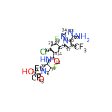 CCC(O)(C(=O)N1C[C@H](F)[C@H](NC(=O)c2cc(-c3cc(C(F)(F)F)c4c(N)ncnn34)c(F)cc2Cl)C1)C(F)(F)F